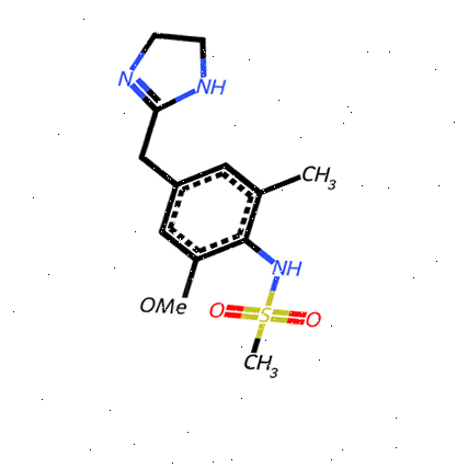 COc1cc(CC2=NCCN2)cc(C)c1NS(C)(=O)=O